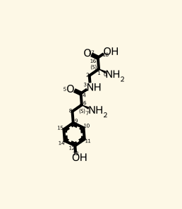 N[C@@H](CNC(=O)[C@@H](N)Cc1ccc(O)cc1)C(=O)O